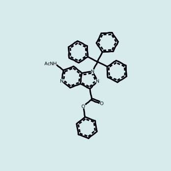 CC(=O)Nc1cc2c(cn1)c(C(=O)Oc1ccccc1)nn2C(c1ccccc1)(c1ccccc1)c1ccccc1